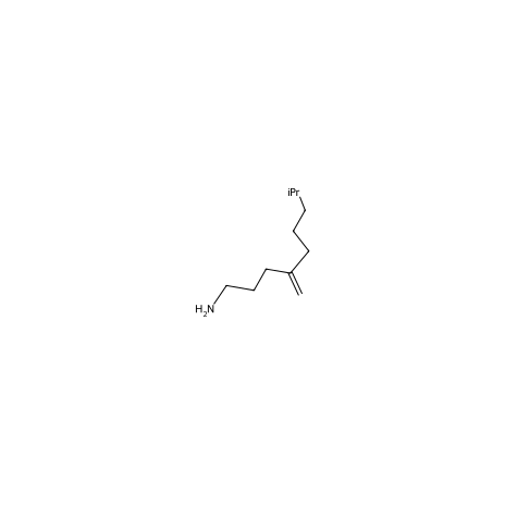 C=C(CCCN)CCCC(C)C